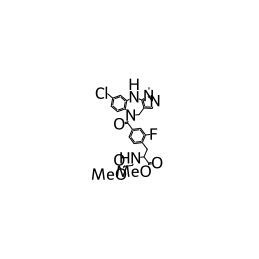 COC(=O)CNC(Cc1ccc(C(=O)N2Cc3cnn(C)c3Nc3cc(Cl)ccc32)cc1F)C(=O)OC